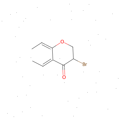 C/C=C1/OCC(Br)C(=O)/C1=C/C